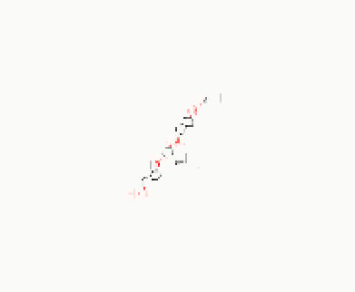 C=CC(=O)OOc1ccc2cc(C(=O)Oc3ccc(OC(=O)c4ccc5cc(O)ccc5c4)c(C(C)(C)C)c3)ccc2c1